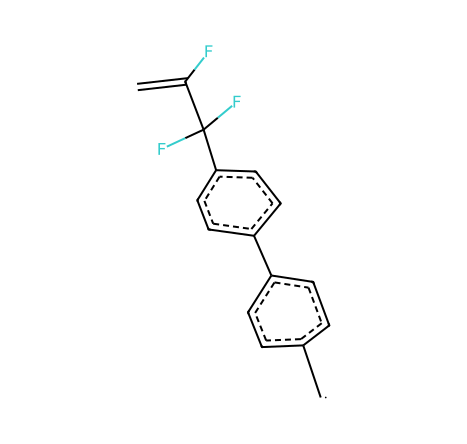 [CH2]c1ccc(-c2ccc(C(F)(F)C(=C)F)cc2)cc1